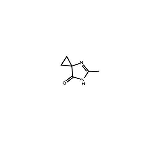 CC1=NC2(CC2)C(=O)N1